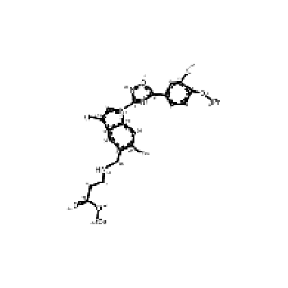 CC(C)Oc1ccc(-c2nc(-n3cc(Cl)c4cc(CNCCC(=O)OC(C)(C)C)c(F)cc43)no2)cc1Cl